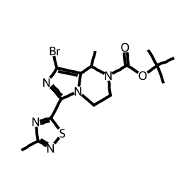 Cc1nsc(-c2nc(Br)c3n2CCN(C(=O)OC(C)(C)C)C3C)n1